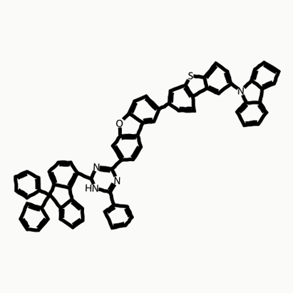 c1ccc(C2=NC(c3ccc4c(c3)oc3ccc(-c5ccc6c(c5)sc5ccc(-n7c8ccccc8c8ccccc87)cc56)cc34)=NC(c3cccc4c3-c3ccccc3C4(c3ccccc3)c3ccccc3)N2)cc1